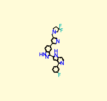 Fc1cccc(-c2nccc3[nH]c(-c4n[nH]c5ccc(-c6cncc(CN7CCC(F)(F)C7)c6)cc45)cc23)c1